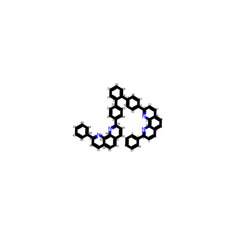 c1ccc(-c2ccc3ccc4ccc(-c5ccc(-c6ccccc6-c6ccc(-c7ccc8ccc9ccc(-c%10ccccc%10)nc9c8n7)cc6)cc5)nc4c3n2)cc1